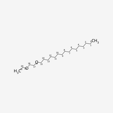 CCCCCCCCCCCCCCCCOCCOCC